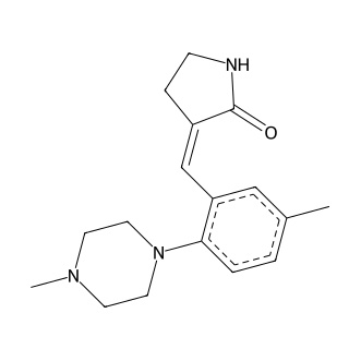 Cc1ccc(N2CCN(C)CC2)c(C=C2CCNC2=O)c1